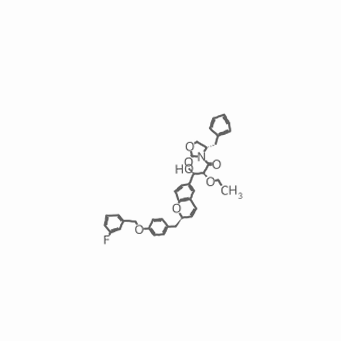 CCO[C@H](C(=O)N1C(=O)OC[C@@H]1Cc1ccccc1)[C@H](O)c1ccc2c(c1)C=C[C@@H](Cc1ccc(OCc3cccc(F)c3)cc1)O2